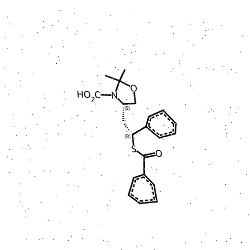 CC1(C)OC[C@H](C[C@@H](SC(=O)c2ccccc2)c2ccccc2)N1C(=O)O